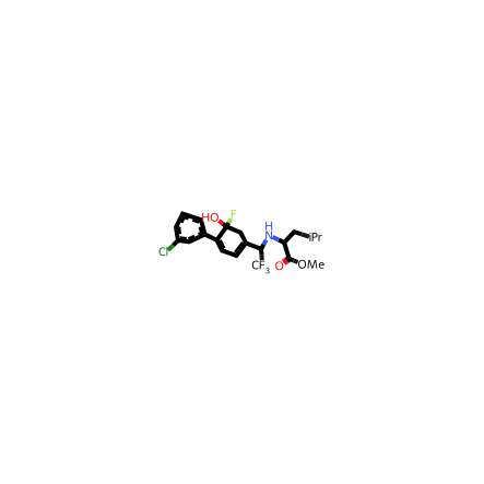 COC(=O)C(CC(C)C)NC(C1=CC=C(c2cccc(Cl)c2)C(O)(F)C1)C(F)(F)F